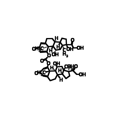 C[C@@]12C(=CC(=O)C=C1OC(=O)OC1=CC(=O)C=C3CC[C@@H]4[C@H]([C@@H](O)C[C@@]5(C)[C@H]4CC[C@]5(O)C(=O)CO)[C@]31C)CC[C@@H]1[C@@H]2[C@@H](O)C[C@@]2(C)[C@H]1CC[C@]2(O)C(=O)CO